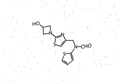 O=CN(Cc1csc(N2CC(O)C2)n1)c1cccs1